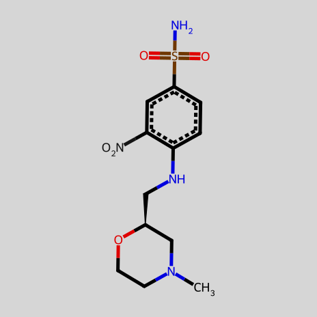 CN1CCO[C@@H](CNc2ccc(S(N)(=O)=O)cc2[N+](=O)[O-])C1